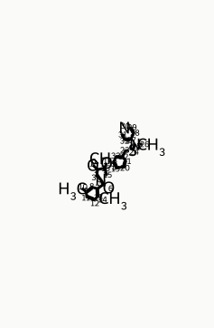 COC1CN(C(=O)c2cc(C)ccc2C)CC1Oc1cccc(CSN(C)c2ccncc2)c1